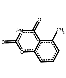 Cc1cccc2oc(=O)[nH]c(=O)c12